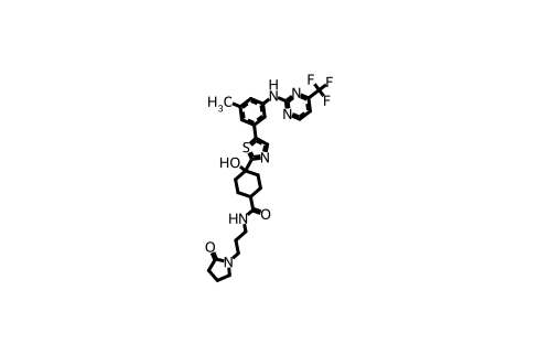 Cc1cc(Nc2nccc(C(F)(F)F)n2)cc(-c2cnc(C3(O)CCC(C(=O)NCCCN4CCCC4=O)CC3)s2)c1